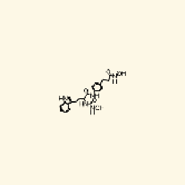 O=C(CCc1ccc(NC(=O)C(=CCc2c[nH]c3ccccc23)NC(=O)NO)cc1)NO